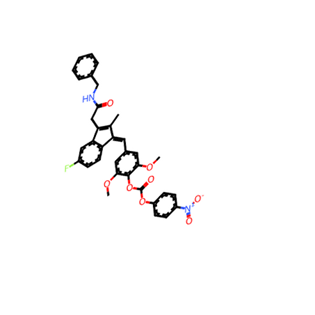 COc1cc(/C=C2/C(C)=C(CC(=O)NCc3ccccc3)c3cc(F)ccc32)cc(OC)c1OC(=O)Oc1ccc([N+](=O)[O-])cc1